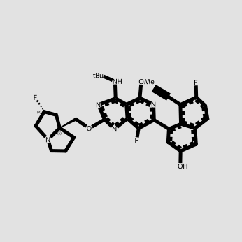 C#Cc1c(F)ccc2cc(O)cc(-c3nc(OC)c4c(NC(C)(C)C)nc(OC[C@@]56CCCN5C[C@H](F)C6)nc4c3F)c12